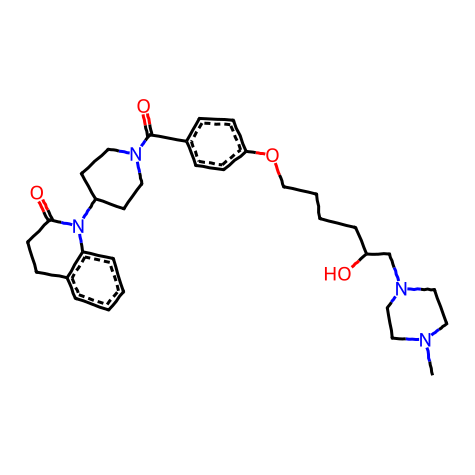 CN1CCN(CC(O)CCCCOc2ccc(C(=O)N3CCC(N4C(=O)CCc5ccccc54)CC3)cc2)CC1